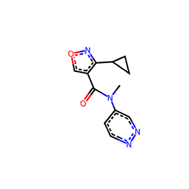 CN(C(=O)c1conc1C1CC1)c1ccnnc1